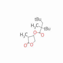 CC1C(=O)OCC1OC(=O)C(C)(CC(C)(C)C)C(C)(C)C